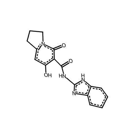 O=C(Nc1nc2ccccc2[nH]1)c1c(O)cc2n(c1=O)CCC2